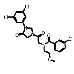 COCCN(CC(=O)N1CC(=O)N(c2cc(Cl)cc(Cl)c2)C1)C(=O)c1cccc(Cl)c1